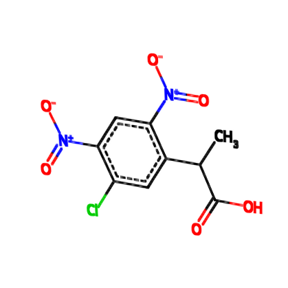 CC(C(=O)O)c1cc(Cl)c([N+](=O)[O-])cc1[N+](=O)[O-]